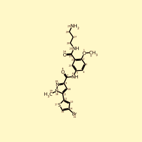 COc1ccc(NC(=O)c2cc(-c3cc(Br)cs3)n(C)n2)cc1C(=O)NCCCN